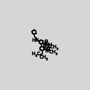 Cc1noc(NS(=O)(=O)c2ccc(NCCc3ccccc3)cc2-c2ccc(CC(C)C)cc2)c1C